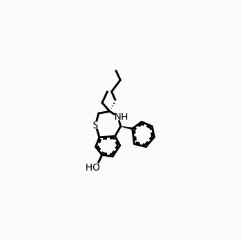 CCCC[C@@]1(CC)CSc2cc(O)ccc2[C@H](c2ccccc2)N1